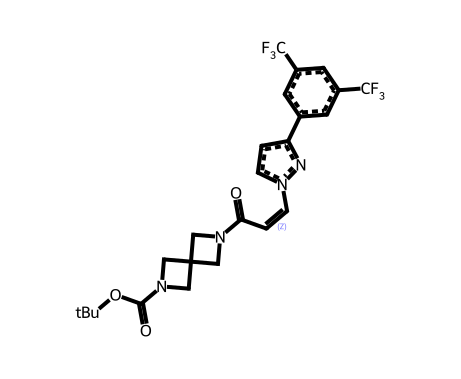 CC(C)(C)OC(=O)N1CC2(CN(C(=O)/C=C\n3ccc(-c4cc(C(F)(F)F)cc(C(F)(F)F)c4)n3)C2)C1